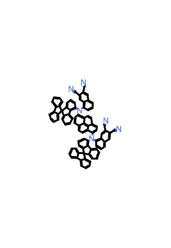 N#Cc1cc2cccc(N(c3cccc4c3-c3ccccc3C43c4ccccc4-c4ccccc43)c3ccc4ccc5c(N(c6cccc7c6-c6ccccc6C76c7ccccc7-c7ccccc76)c6cccc7cc(C#N)c(C#N)cc67)ccc6ccc3c4c65)c2cc1C#N